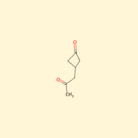 CC(=O)CC1CC(=O)C1